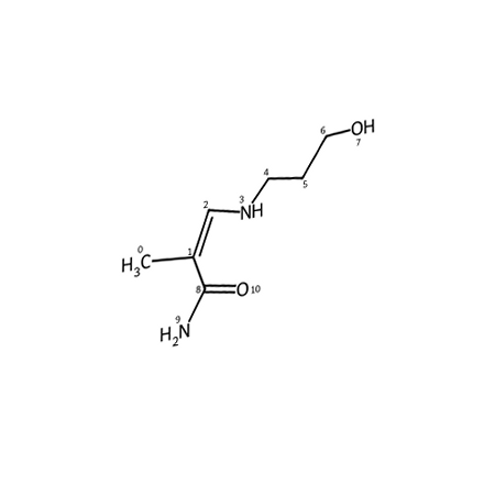 C/C(=C/NCCCO)C(N)=O